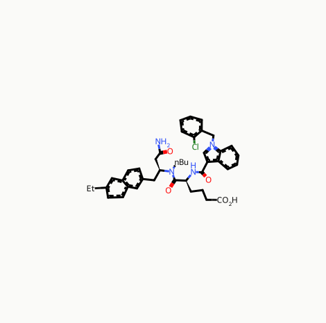 CCCCN(C(=O)[C@H](CCCC(=O)O)NC(=O)c1cn(Cc2ccccc2Cl)c2ccccc12)[C@H](CC(N)=O)Cc1ccc2cc(CC)ccc2c1